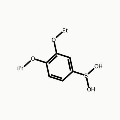 CCOc1cc(B(O)O)ccc1OC(C)C